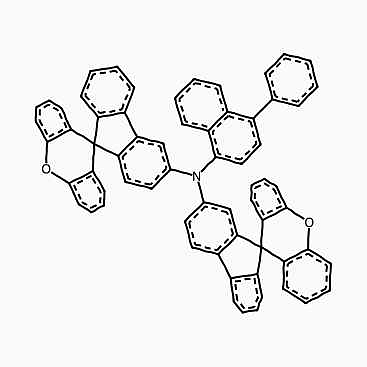 c1ccc(-c2ccc(N(c3ccc4c(c3)-c3ccccc3C43c4ccccc4Oc4ccccc43)c3ccc4c(c3)C3(c5ccccc5Oc5ccccc53)c3ccccc3-4)c3ccccc23)cc1